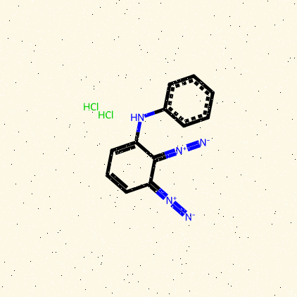 Cl.Cl.[N-]=[N+]=C1C=CC=C(Nc2ccccc2)C1=[N+]=[N-]